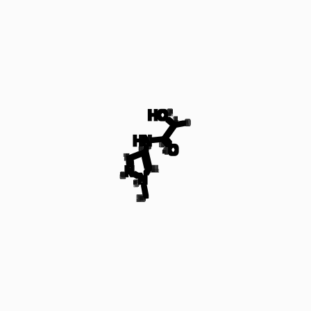 CC(O)C(=O)Nc1cnn(C)c1